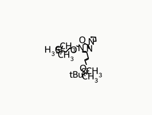 CC(C)(C)[Si](C)(C)OC/C=C/c1cn(COCC[Si](C)(C)C)c(=O)c(N2CCC2)n1